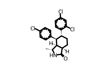 C[C@H]1NC(=O)[C@@H]2CC[C@@H](c3ccc(Cl)cc3Cl)[C@H](c3ccc(Cl)cc3)[C@H]12